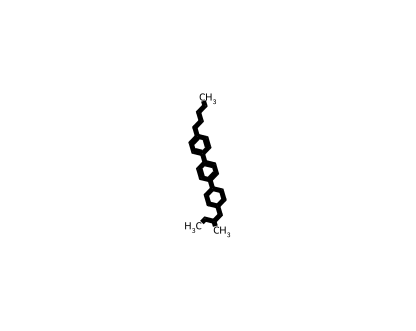 CCCCCc1ccc(-c2ccc(C3CCC(CC(C)CC)CC3)cc2)cc1